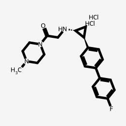 CN1CCN(C(=O)CN[C@@H]2C[C@H]2c2ccc(-c3ccc(F)cc3)cc2)CC1.Cl.Cl